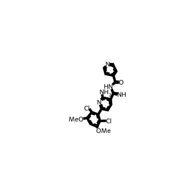 COc1cc(OC)c(Cl)c(-c2ccc(C(=N)NC(=O)c3ccncc3)c(N)n2)c1Cl